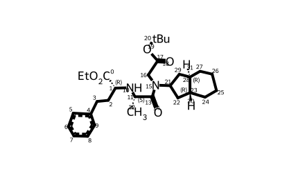 CCOC(=O)[C@@H](CCc1ccccc1)N[C@@H](C)C(=O)N(CC(=O)OC(C)(C)C)C1C[C@H]2CCCC[C@@H]2C1